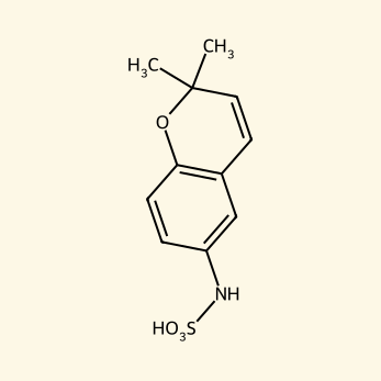 CC1(C)C=Cc2cc(NS(=O)(=O)O)ccc2O1